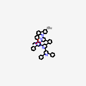 C=C/C=C(\C)Nc1cc(-c2ccccc2-c2cc(-c3cc(-c4ccccc4)nc(-c4ccccc4)c3)nc(-c3cc(-c4ccccc4)nc(-c4ccccc4)c3)c2)cc(-n2c3ccccc3c3cc(C(C)(C)C)ccc32)n1